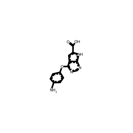 Nc1ccc(Oc2ncnc3[nH]c(C(=O)O)cc23)cc1